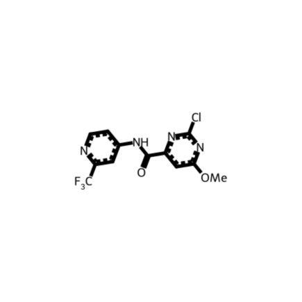 COc1cc(C(=O)Nc2ccnc(C(F)(F)F)c2)nc(Cl)n1